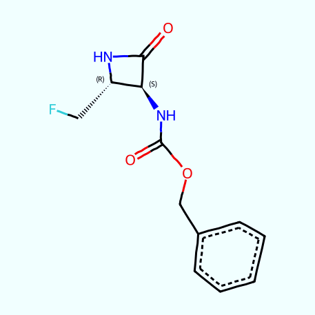 O=C(N[C@@H]1C(=O)N[C@H]1CF)OCc1ccccc1